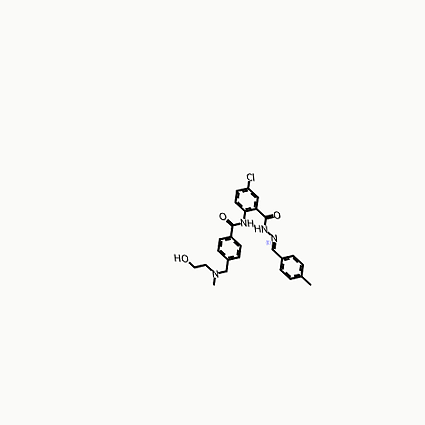 Cc1ccc(/C=N/NC(=O)c2cc(Cl)ccc2NC(=O)c2ccc(CN(C)CCO)cc2)cc1